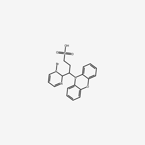 O=S(=O)(O)CCC(C1N=CC=CN1Br)N1c2ccccc2Oc2ccccc21